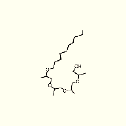 CCCCCCCCCCOC(C)COC(C)COC(C)COC(C)CO